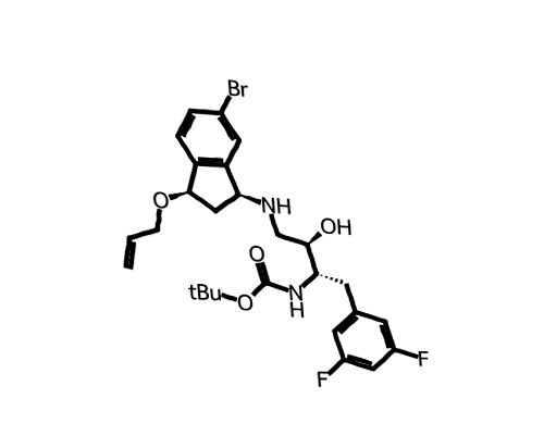 C=CCO[C@@H]1C[C@H](NC[C@@H](O)[C@H](Cc2cc(F)cc(F)c2)NC(=O)OC(C)(C)C)c2cc(Br)ccc21